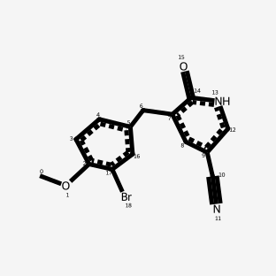 COc1ccc(Cc2cc(C#N)c[nH]c2=O)cc1Br